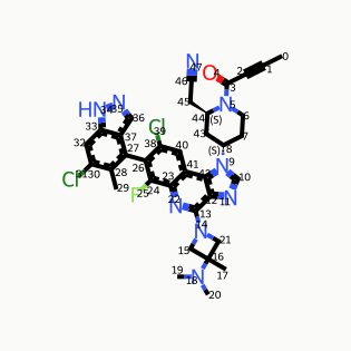 CC#CC(=O)N1CC[C@H](n2cnc3c(N4CC(C)(N(C)C)C4)nc4c(F)c(-c5c(C)c(Cl)cc6[nH]ncc56)c(Cl)cc4c32)C[C@H]1CC#N